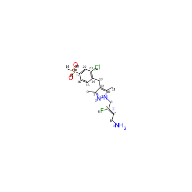 Cc1nn(C/C(F)=C/CN)c(C)c1Cc1ccc(S(C)(=O)=O)cc1Cl